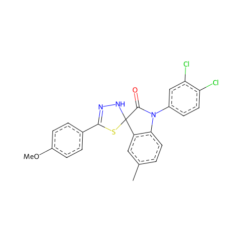 COc1ccc(C2=NNC3(S2)C(=O)N(c2ccc(Cl)c(Cl)c2)c2ccc(C)cc23)cc1